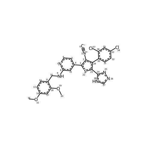 [C-]#[N+]c1c(-c2ccnc(NCc3ccc(OC)cc3OC)c2)sc(-c2nnc[nH]2)c1-c1ccc(Cl)cc1Cl